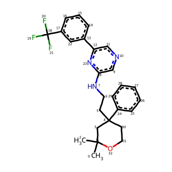 CC1(C)CC(CCNc2cncc(-c3cccc(C(F)(F)F)c3)n2)(c2ccccc2)CCO1